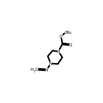 C=NN1CCN(C(=O)OC(C)(C)C)CC1